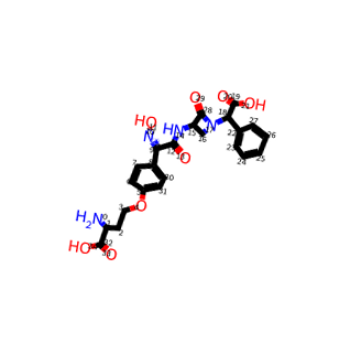 NC(CCOc1ccc(/C(=N/O)C(=O)NC2CN(C(C(=O)O)c3ccccc3)C2=O)cc1)C(=O)O